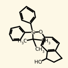 CC(C)(C)[Si](Oc1ccc2c(c1)C(O)CC2)(c1ccccc1)c1ccccc1